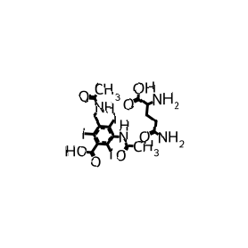 CC(=O)NCc1c(I)c(NC(C)=O)c(I)c(C(=O)O)c1I.NC(=O)CCC(N)C(=O)O